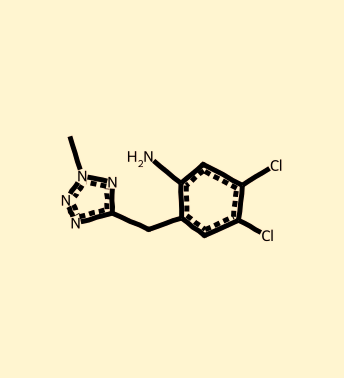 Cn1nnc(Cc2cc(Cl)c(Cl)cc2N)n1